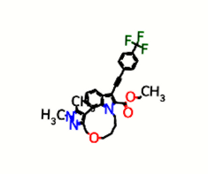 CCOC(=O)c1c(C#Cc2ccc(C(F)(F)F)cc2)c2cccc3c2n1CCCCOCc1nn(C)c(C)c1-3